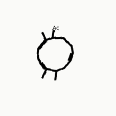 CC(=O)C1CCC=CCC(C)C(C)=CCC=C1C